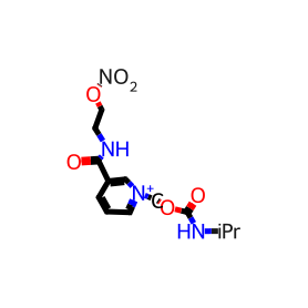 CC(C)NC(=O)OC[n+]1cccc(C(=O)NCCO[N+](=O)[O-])c1